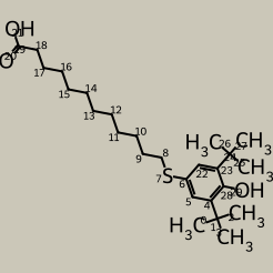 CC(C)(C)c1cc(SCCCCCCCCCCCC(=O)O)cc(C(C)(C)C)c1O